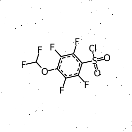 O=S(=O)(Cl)c1c(F)c(F)c(OC(F)F)c(F)c1F